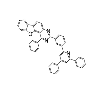 c1ccc(-c2cc(-c3ccccc3)nc(-c3cccc(-c4nc(-c5ccccc5)c5c(ccc6c7ccccc7oc65)n4)c3)c2)cc1